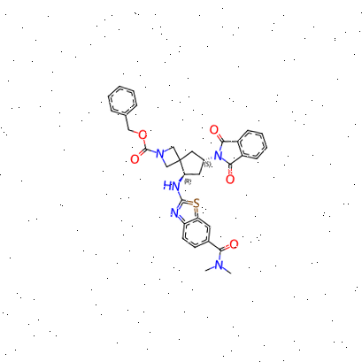 CN(C)C(=O)c1ccc2nc(N[C@@H]3C[C@@H](N4C(=O)c5ccccc5C4=O)CC34CN(C(=O)OCc3ccccc3)C4)sc2c1